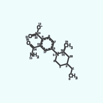 CCC1CCN(c2ccc([N+](=O)[O-])c(C(N)=O)c2)[C@@H](C)C1